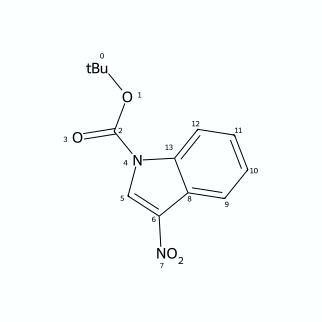 CC(C)(C)OC(=O)n1cc([N+](=O)[O-])c2ccccc21